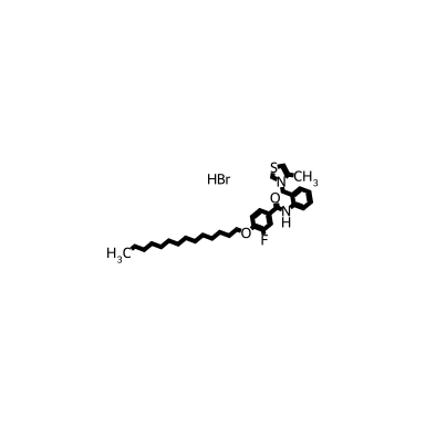 Br.CCCCCCCCCCCCCCOc1ccc(C(=O)Nc2ccccc2CN2CSC=C2C)cc1F